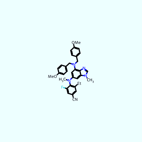 CCc1cc(C#N)cc(F)c1N(C)c1cc(N(Cc2ccc(OC)cc2)Cc2ccc(OC)cc2)c2ncn(C)c2c1